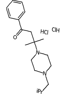 CC(C)CN1CCN(C(C)(C)CC(=O)c2ccccc2)CC1.Cl.Cl